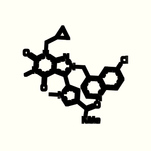 CNC(=O)c1cc(-c2c3c(=O)n(C)c(=O)n(CC4CC4)c3nn2Cc2ccnc3ccc(Cl)cc23)n(C)c1